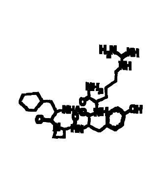 CC(=O)NC(CC1CCCCC1)C(=O)N1CCC1C(=O)NC(Cc1ccc(O)cc1)C(=O)NC(CCCCNC(=N)N)C(N)=O